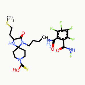 CCCCN1C(=O)C(CCSC)NC12CCN(C(O)=S)CC2.NC(=O)c1c(F)c(F)c(F)c(F)c1C(=O)NF